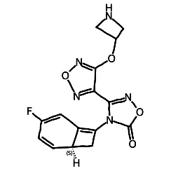 O=c1onc(-c2nonc2OC2CNC2)n1C1=C2C=C(F)C=C[C@@H]2C1